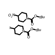 CC(C)(C)OC(=O)N1CCC(I)CC1.CC(C)(C)OC(=O)N1CCC([N+](=O)[O-])CC1